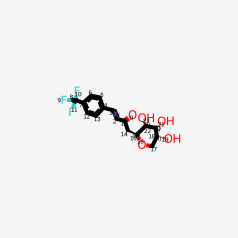 O=C(/C=C/c1ccc(C(F)(F)F)cc1)C[C@@H]1OC[C@@H](O)[C@H](O)[C@H]1O